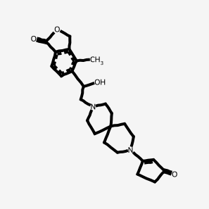 Cc1c(C(O)CN2CCC3(CC2)CCN(C2=CC(=O)CC2)CC3)ccc2c1COC2=O